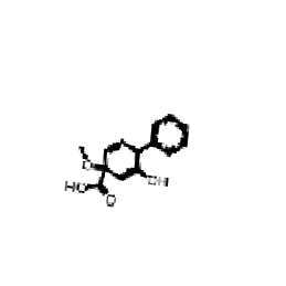 COC1(C(=O)O)C=CC(c2ccccc2)C(O)=C1